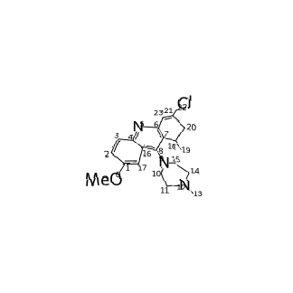 COc1ccc2nc3c(c(N4CCN(C)CC4)c2c1)C(C)CC(Cl)=C3